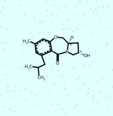 Cc1cc(CC(C)C)c2c(c1)OC[C@H]1C[C@H](O)CN1C2=O